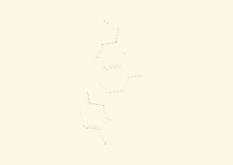 CC(C)c1ncc2occ(CC(C)c3cc4cnoc4cn3)c2n1